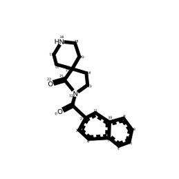 O=C(c1ccc2ccccc2c1)N1CCC2(CCNCC2)C1=O